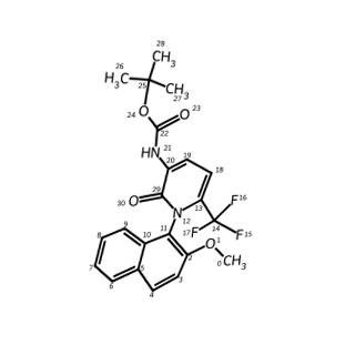 COc1ccc2ccccc2c1-n1c(C(F)(F)F)ccc(NC(=O)OC(C)(C)C)c1=O